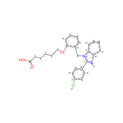 O=C(O)CCCCCOc1ccccc1Cn1c(-c2ccc(Cl)cc2)nc2ccccc21